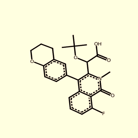 Cn1c(C(OC(C)(C)C)C(=O)O)c(-c2ccc3c(c2)CCCO3)c2cccc(F)c2c1=O